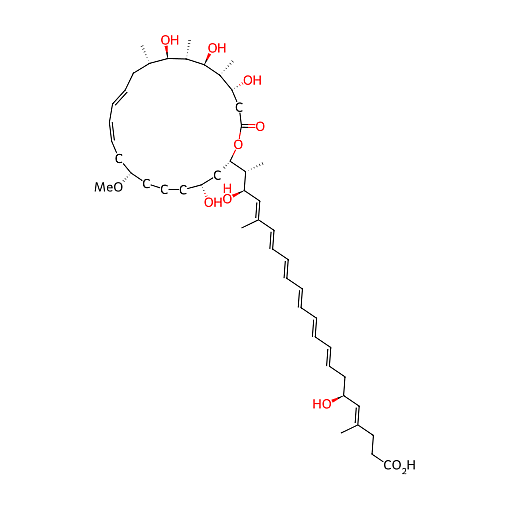 CO[C@@H]1C/C=C\C=C\C[C@H](C)[C@@H](O)[C@H](C)[C@@H](O)[C@H](C)[C@H](O)CC(=O)O[C@H]([C@H](C)[C@H](O)/C=C(C)/C=C/C=C/C=C/C=C/C=C/C[C@H](O)/C=C(\C)CCC(=O)O)C[C@H](O)CCC1